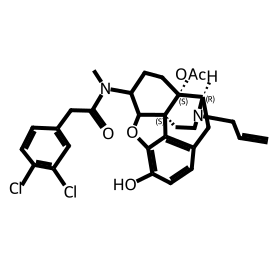 C=CCN1CC[C@]23c4c5ccc(O)c4OC2C(N(C)C(=O)Cc2ccc(Cl)c(Cl)c2)CC[C@@]3(OC(C)=O)[C@H]1C5